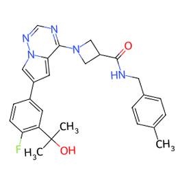 Cc1ccc(CNC(=O)C2CN(c3ncnn4cc(-c5ccc(F)c(C(C)(C)O)c5)cc34)C2)cc1